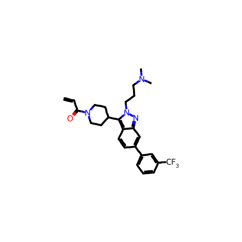 C=CC(=O)N1CCC(c2c3ccc(-c4cccc(C(F)(F)F)c4)cc3nn2CCCN(C)C)CC1